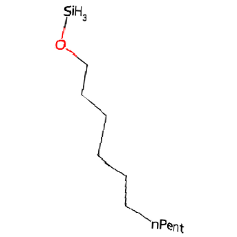 CCCCCCCCCCCO[SiH3]